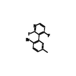 Cc1ccc(Br)c(-c2c(F)ccnc2F)c1